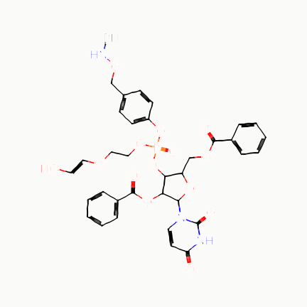 BNOCc1ccc(OP(=O)(OCCO/C=C/O)OC2C(COC(=O)c3ccccc3)OC(n3ccc(=O)[nH]c3=O)C2OC(=O)c2ccccc2)cc1